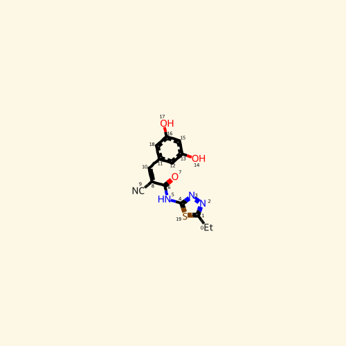 CCc1nnc(NC(=O)/C(C#N)=C\c2cc(O)cc(O)c2)s1